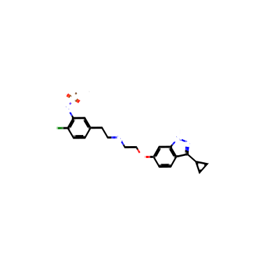 CS(=O)(=O)Nc1cc(CCNCCOc2ccc3c(C4CC4)n[nH]c3c2)ccc1Cl